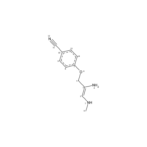 CN/C=C(\N)COc1ccc(C#N)cc1